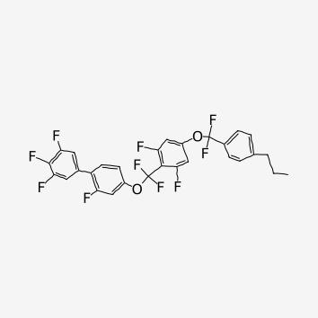 CCCc1ccc(C(F)(F)Oc2cc(F)c(C(F)(F)Oc3ccc(-c4cc(F)c(F)c(F)c4)c(F)c3)c(F)c2)cc1